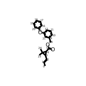 CC=CC1C(C(=O)OCc2cccc(Oc3ccccc3)c2)C1(C)C